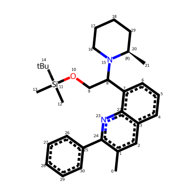 Cc1cc2cccc(C(CO[Si](C)(C)C(C)(C)C)N3CCCC[C@H]3C)c2nc1-c1ccccc1